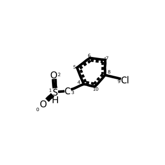 O=[SH](=O)Cc1cc[c]c(Cl)c1